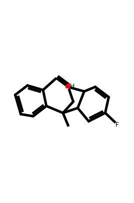 CC12CNC(=CC3C=CC(F)=CC31)c1ccccc12